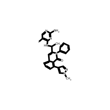 CC(Nc1nc(N)ncc1I)c1cc2cccc(-c3cnn(C)c3)c2c(=O)n1-c1ccccc1